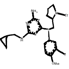 CCN1CCCC1CN(c1ccc(OC)c(F)c1)c1nc(N)nc(NCC2CC2)n1